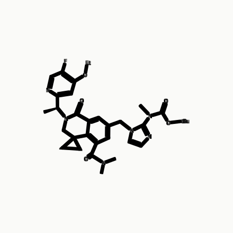 CCOc1cc([C@H](C)N2CC3(CC3)c3c(C(=O)N(C)C)cc(Cn4ccnc4N(C)C(=O)OC(C)(C)C)cc3C2=O)ncc1F